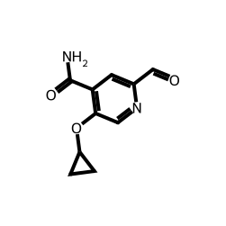 NC(=O)c1cc(C=O)ncc1OC1CC1